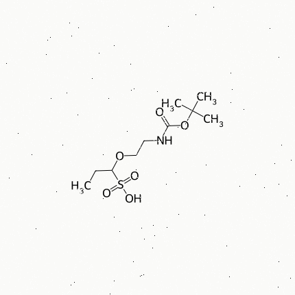 CCC(OCCNC(=O)OC(C)(C)C)S(=O)(=O)O